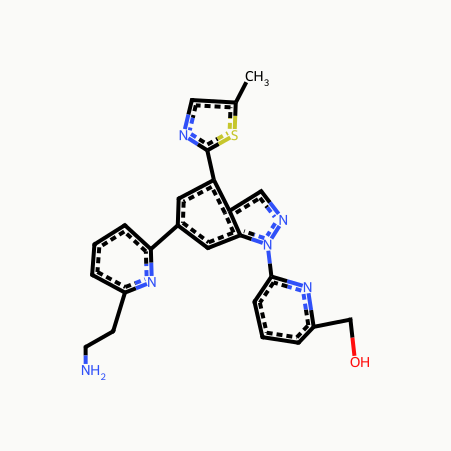 Cc1cnc(-c2cc(-c3cccc(CCN)n3)cc3c2cnn3-c2cccc(CO)n2)s1